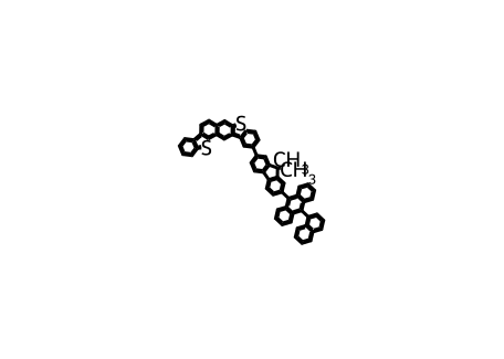 CC1(C)c2cc(-c3ccc4sc5cc6ccc7c8ccccc8sc7c6cc5c4c3)ccc2-c2ccc(-c3c4ccccc4c(-c4cccc5ccccc45)c4ccccc34)cc21